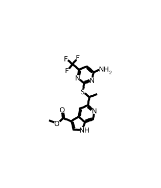 COC(=O)c1c[nH]c2cnc(C(C)Sc3nc(N)cc(C(F)(F)F)n3)cc12